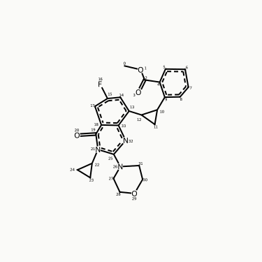 COC(=O)c1ccccc1C1CC1c1cc(F)cc2c(=O)n(C3CC3)c(N3CCOCC3)nc12